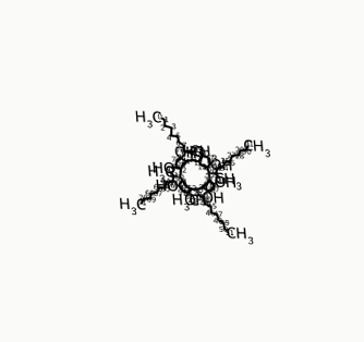 CCCCCCCCCC(C)[C@H]1c2cc(c(O)cc2O)[C@@H](C(C)CCCCCCCCC)c2cc(c(O)cc2O)[C@@H](C(C)CCCCCCCCC)c2cc(c(O)cc2O)[C@@H](C(C)CCCCCCCCC)c2cc1c(O)cc2O